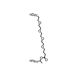 CCCCCCCCCCCCOCCOCCOCCOCCCC(=O)OC(C)CCCCCC